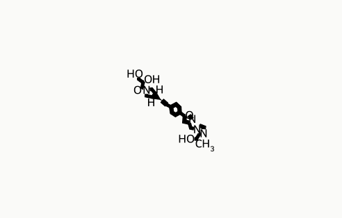 C[C@H](O)c1nccn1Cc1cc(-c2ccc(C#C[C@@H]3[C@H]4CN(C(=O)C(O)CO)C[C@@H]34)cc2)on1